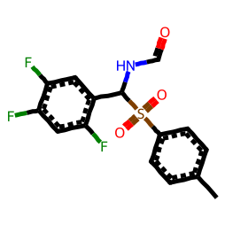 Cc1ccc(S(=O)(=O)C(NC=O)c2cc(F)c(F)cc2F)cc1